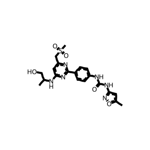 Cc1cc(NC(=O)Nc2ccc(-c3nc(CS(C)(=O)=O)cc(NC(C)CO)n3)cc2)no1